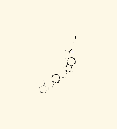 C=NN/C=C(\C)c1ccc2nc(Nc3ccnc(CN4CCCC4=O)c3)sc2n1